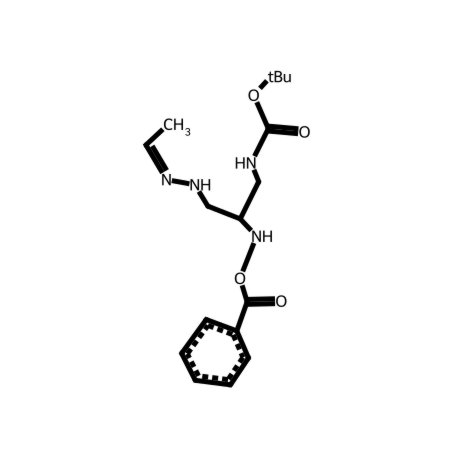 C/C=N\NCC(CNC(=O)OC(C)(C)C)NOC(=O)c1ccccc1